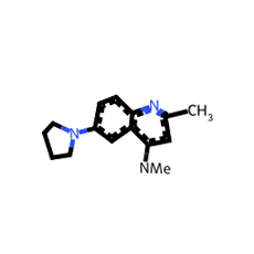 CNc1cc(C)nc2ccc(N3CCCC3)cc12